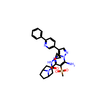 CS(=O)(=O)c1c(C2CC3CCC(C2)N3C(=O)NC2CC2)nc2c(-c3ccc(-c4ccccc4)nc3)cnn2c1N